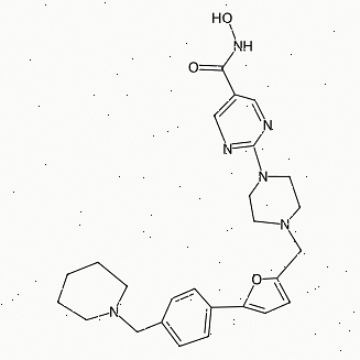 O=C(NO)c1cnc(N2CCN(Cc3ccc(-c4ccc(CN5CCCCC5)cc4)o3)CC2)nc1